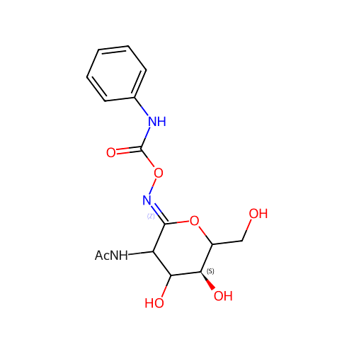 CC(=O)NC1/C(=N/OC(=O)Nc2ccccc2)OC(CO)[C@@H](O)C1O